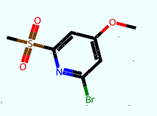 COc1cc(Br)nc(S(C)(=O)=O)c1